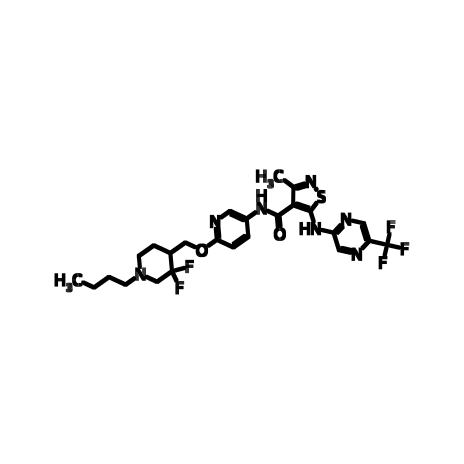 CCCCN1CCC(COc2ccc(NC(=O)c3c(C)nsc3Nc3cnc(C(F)(F)F)cn3)cn2)C(F)(F)C1